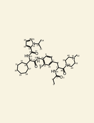 CCC(=O)NC(Cc1ccc(NC(=O)C(NC(=O)c2ccnn2C(C)C)C2CCCCCC2)c(F)c1)C(=O)N1CCN(C)CC1